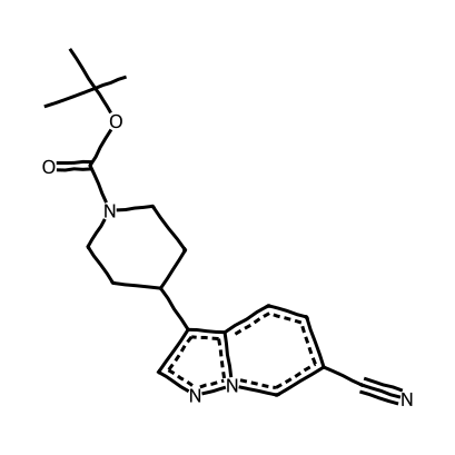 CC(C)(C)OC(=O)N1CCC(c2cnn3cc(C#N)ccc23)CC1